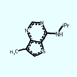 Cc1csc2c(NC(C)C)ncnc12